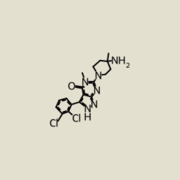 Cn1c(N2CCC(C)(N)CC2)nc2n[nH]c(-c3cccc(Cl)c3Cl)c2c1=O